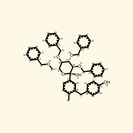 Cc1ccc([C@]2(O)O[C@H](COCc3ccccc3)[C@@H](OCc3ccccc3)[C@H](OCc3ccccc3)[C@H]2OCc2ccccc2)cc1Cc1ccc(O)cc1